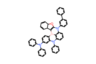 C1=CC2OC3=C(B4c5ccc(N(c6ccccc6)c6ccccc6)cc5N(c5ccccc5)c5cccc(c54)N3c3cccc(-c4ccccc4)c3)C2C=C1